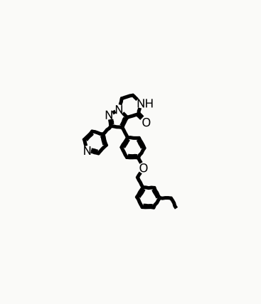 CCc1cccc(COc2ccc(-c3c(-c4ccncc4)nn4c3C(=O)NCC4)cc2)c1